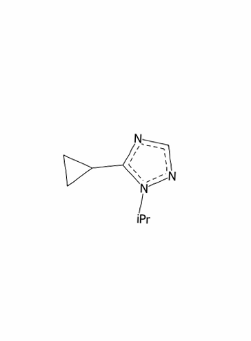 CC(C)n1ncnc1C1CC1